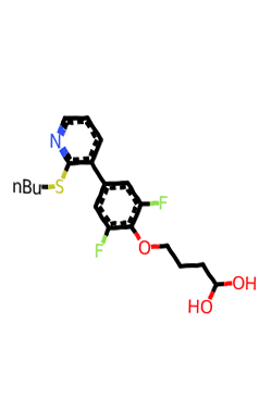 CCCCSc1ncccc1-c1cc(F)c(OCCCC(O)O)c(F)c1